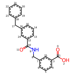 O=C(O)c1cccc(CNC(=O)c2cccc(Cc3ccccc3)c2)c1